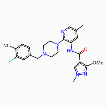 COc1nn(C)cc1C(=O)Nc1cc(C)cnc1N1CCN(Cc2ccc(C#N)c(F)c2)CC1